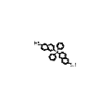 Sc1ccc2cc([Si](c3ccccc3)(c3ccccc3)c3ccc4cc(S)ccc4c3)ccc2c1